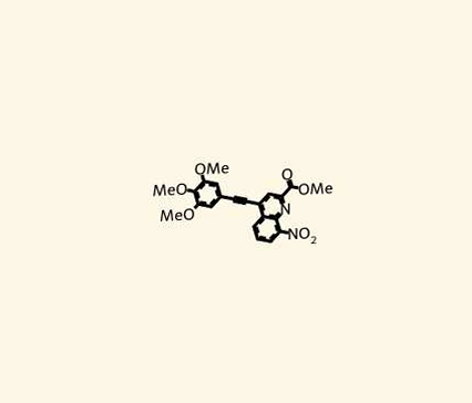 COC(=O)c1cc(C#Cc2cc(OC)c(OC)c(OC)c2)c2cccc([N+](=O)[O-])c2n1